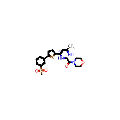 CS(=O)(=O)c1cccc(-c2ccc(/C(=C/C(=N)C(F)(F)F)NCC(=O)N3CCOCC3)s2)c1